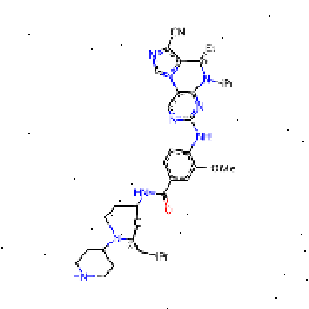 CC[C@@H]1c2c(C#N)ncn2-c2cnc(Nc3ccc(C(=O)NC4CCN(C5CCNCC5)[C@H](CC(C)C)C4)cc3OC)nc2N1C(C)C